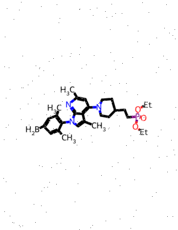 Bc1cc(C)c(-n2cc(C)c3c(N4CCC(CCP(=O)(OCC)OCC)CC4)cc(C)nc32)c(C)c1